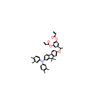 C=CC(=O)Oc1cc(OC(=O)C=C)cc(C(C)Oc2ccc3c(c2)C(C)(C)c2cc(N(c4ccc(C)c(C)c4)c4ccc(C)c(C)c4)ccc2-3)c1